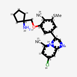 CSc1cc(-c2cnc3cc(Cl)cc(C#N)n23)cc(OCC2(N)CCCC2)c1C#N